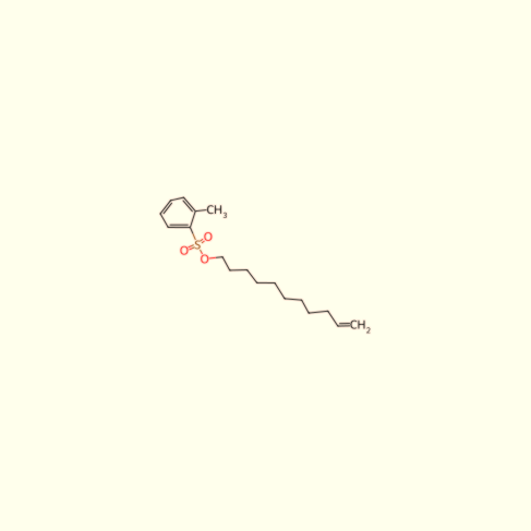 C=CCCCCCCCCCOS(=O)(=O)c1ccccc1C